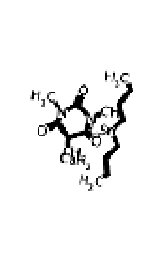 CC1C(=O)N(C)C(=O)N(C)C1=O.CCC[CH2][SnH2][CH2]CCC.[CaH2]